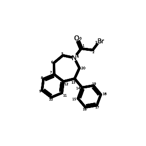 O=C(CBr)N1CCc2ccccc2C(c2ccccc2)C1